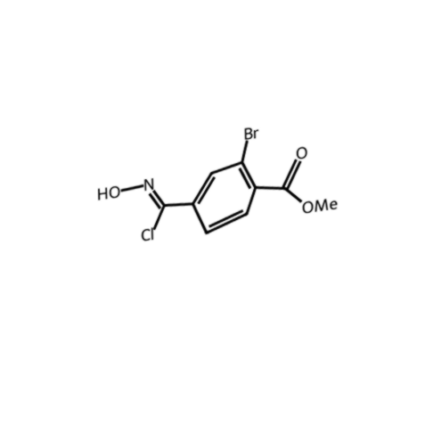 COC(=O)c1ccc(C(Cl)=NO)cc1Br